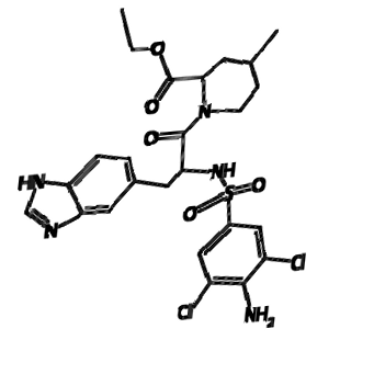 CCOC(=O)C1CC(C)CCN1C(=O)C(Cc1ccc2[nH]cnc2c1)NS(=O)(=O)c1cc(Cl)c(N)c(Cl)c1